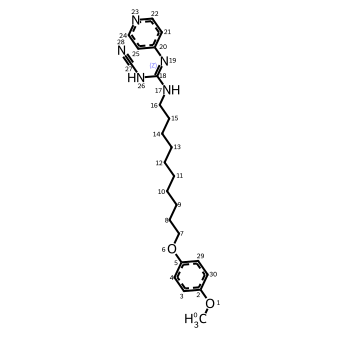 COc1ccc(OCCCCCCCCCCN/C(=N/c2ccncc2)NC#N)cc1